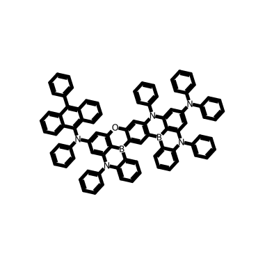 c1ccc(-c2c3ccccc3c(N(c3ccccc3)c3cc4c5c(c3)N(c3ccccc3)c3ccccc3B5c3cc5c(cc3O4)N(c3ccccc3)c3cc(N(c4ccccc4)c4ccccc4)cc4c3B5c3ccccc3N4c3ccccc3)c3ccccc23)cc1